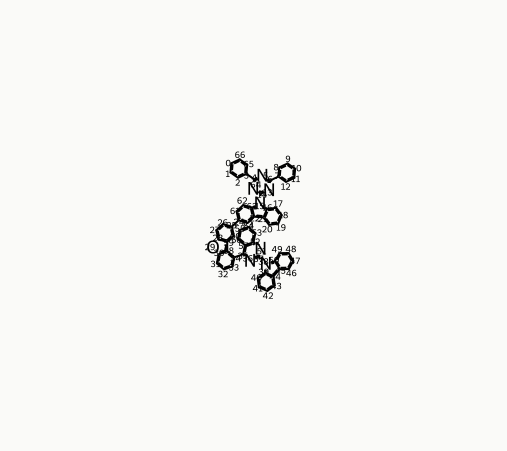 c1ccc(-c2nc(-c3ccccc3)nc(-n3c4ccccc4c4cc(-c5ccc6oc7cccc(-c8nc(-n9c%10ccccc%10c%10ccccc%109)nc9ccccc89)c7c6c5)ccc43)n2)cc1